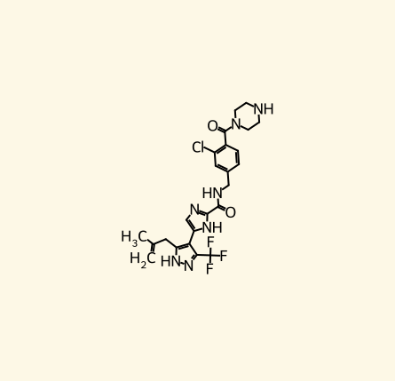 C=C(C)Cc1[nH]nc(C(F)(F)F)c1-c1cnc(C(=O)NCc2ccc(C(=O)N3CCNCC3)c(Cl)c2)[nH]1